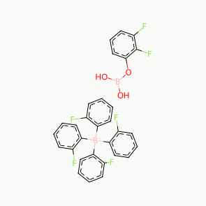 Fc1ccccc1[B-](c1ccccc1F)(c1ccccc1F)c1ccccc1F.OB(O)Oc1cccc(F)c1F